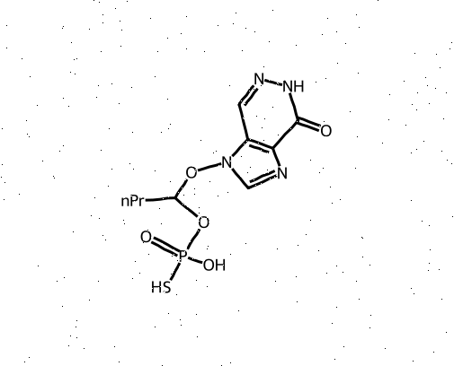 CCCC(On1cnc2c(=O)[nH]ncc21)OP(=O)(O)S